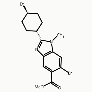 CC[C@H]1CC[C@H](c2nc3cc(C(=O)OC)c(Br)cc3n2C)CC1